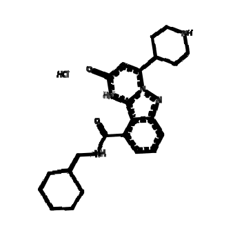 Cl.O=C(NCC1CCCCC1)c1cccc2nn3c(C4CCNCC4)cc(=O)[nH]c3c12